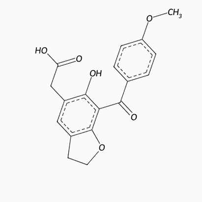 COc1ccc(C(=O)c2c(O)c(CC(=O)O)cc3c2OCC3)cc1